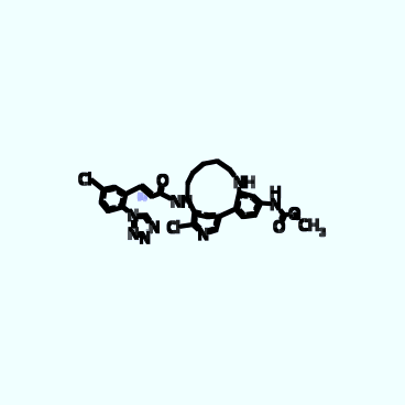 COC(=O)Nc1ccc2c(c1)NCCCCCC(NC(=O)/C=C/c1cc(Cl)ccc1-n1cnnn1)c1cc-2cnc1Cl